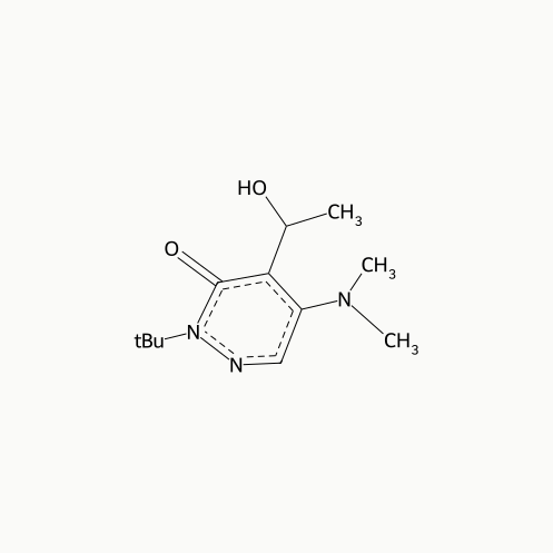 CC(O)c1c(N(C)C)cnn(C(C)(C)C)c1=O